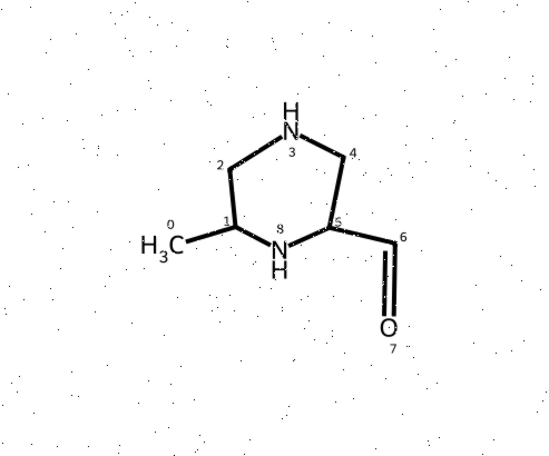 CC1CNCC(C=O)N1